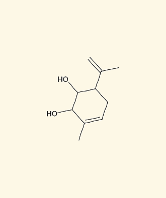 C=C(C)C1CC=C(C)C(O)C1O